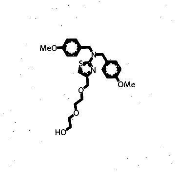 COc1ccc(CN(Cc2ccc(OC)cc2)c2nc(COCCOCCO)cs2)cc1